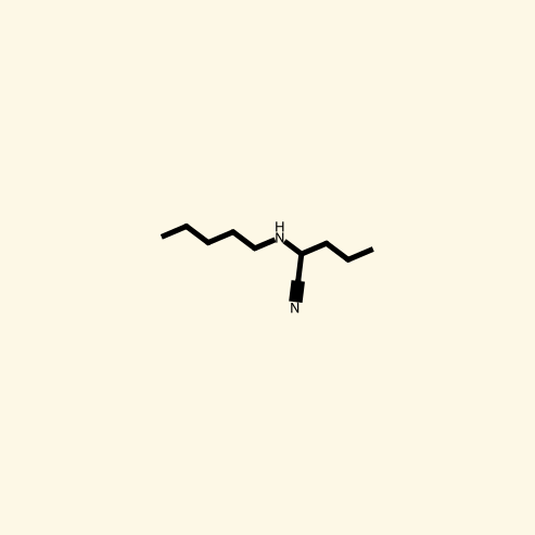 CCCCCNC(C#N)CCC